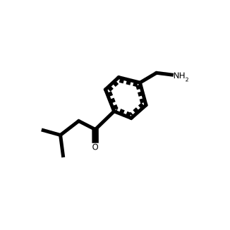 CC(C)CC(=O)c1ccc(CN)cc1